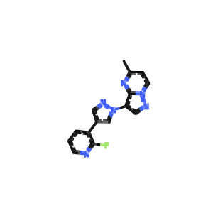 Cc1ccn2ncc(-n3cc(-c4cccnc4F)cn3)c2n1